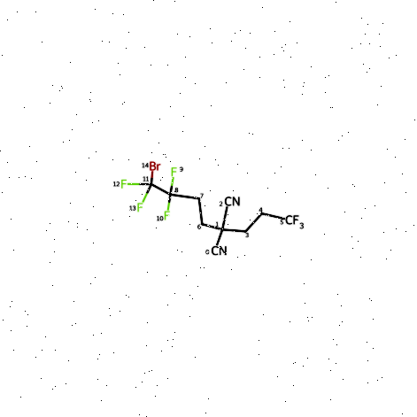 N#CC(C#N)(CCC(F)(F)F)CCC(F)(F)C(F)(F)Br